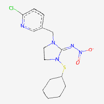 O=[N+]([O-])N=C1N(Cc2ccc(Cl)nc2)CCN1SC1CCCCC1